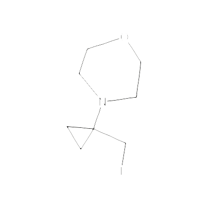 ICC1(N2CCOCC2)CC1